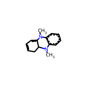 CN1C2=CC=CCC2N(C)c2ccccc21